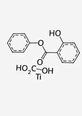 O=C(O)O.O=C(Oc1ccccc1)c1ccccc1O.[Ti]